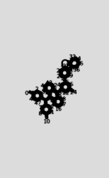 Cc1ccc(C(c2ccc(C)cc2)c2c3ccccc3c(-c3cc(C)cc(-c4ccc5oc6ccccc6c5c4)c3)c3ccccc23)cc1